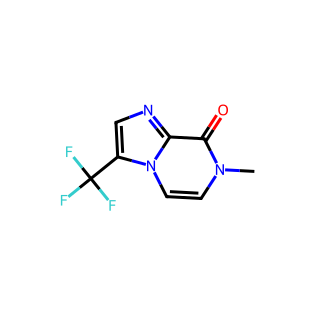 Cn1ccn2c(C(F)(F)F)cnc2c1=O